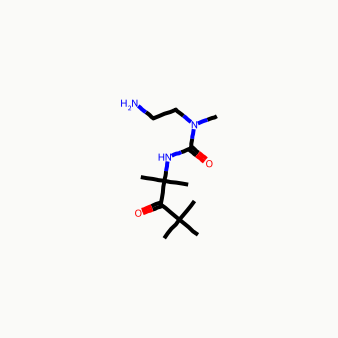 CN(CCN)C(=O)NC(C)(C)C(=O)C(C)(C)C